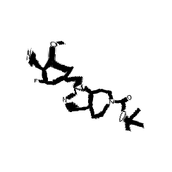 COc1cc(Cn2ncc3c2CCN(C(=O)OC(C)(C)C)CC3)cc(F)c1C#N